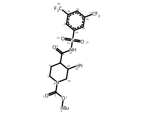 CCCCOC(=O)N1CCC(C(=O)NS(=O)(=O)c2cc(C(F)(F)F)cc(C(F)(F)F)c2)C(CCC)C1